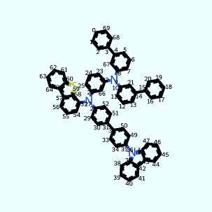 c1ccc(-c2cccc(N(c3cccc(-c4ccccc4)c3)c3cccc(N(c4ccc(-c5ccc(-n6c7ccccc7c7ccccc76)cc5)cc4)c4cccc5c4sc4ccccc45)c3)c2)cc1